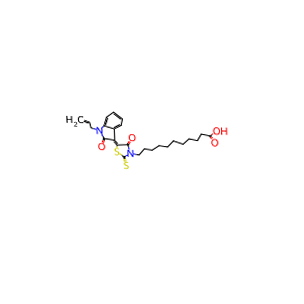 C=CCN1C(=O)/C(=C2\SC(=S)N(CCCCCCCCCCC(=O)O)C2=O)c2ccccc21